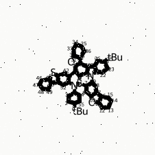 CC(C)(C)c1ccc(N2B3c4cc5oc6ccccc6c5cc4-n4c5ccc(C(C)(C)C)cc5c5c6c(oc7ccccc76)c(c3c54)-c3cc4sc5ccccc5c4cc32)cc1